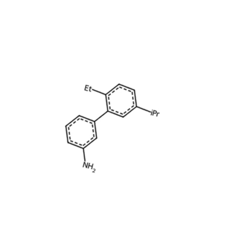 CCc1ccc(C(C)C)cc1-c1cccc(N)c1